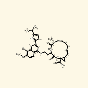 COc1ccc2c(OCCC3NC(=O)N(C)CCCC/C=C/C4CC4(C(=O)O)NC3=O)cc(-c3nc(C(C)C)cs3)nc2c1Br